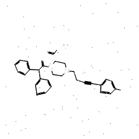 COC(=O)[C@@H]1CN(CCC#Cc2ccc(F)cc2)CCN1C(=O)C(c1ccccc1)c1ccccc1